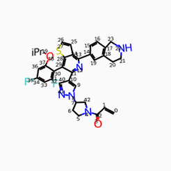 C=CC(=O)N1CCC(n2cc(-c3nc(-c4ccc5c(c4)CCNC5)c4ccsc4c3-c3c(F)cc(F)cc3OC(C)C)cn2)C1